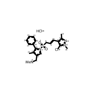 CNCc1cn(S(=O)(=O)CC=Cc2c(C)nn(C)c2Cl)c(-c2ccccc2)c1C.Cl